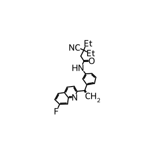 C=C(c1cccc(NC(=O)CC(C#N)(CC)CC)c1)c1ccc2ccc(F)cc2n1